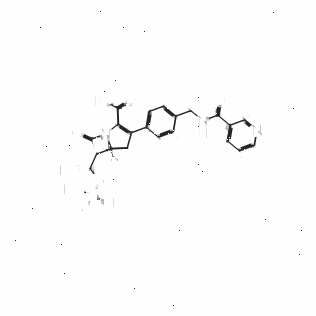 C[C@@H](O[Si](C)(C)C)[C@H]1C(=O)N2C(C(=O)O)=C(c3ccc(CNC(=O)c4cccnc4)cc3)C[C@H]12